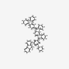 CC1(C)c2ccccc2-c2cccc(-c3nc(-c4ccccc4)nc(-n4c5ccccc5c5c6c7ccccc7n(-c7ccc8c9ccccc9c9ccccc9c8c7)c6ccc54)n3)c21